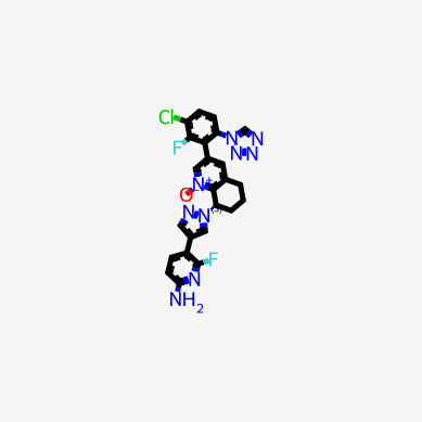 Nc1ccc(-c2cnn([C@H]3CCCc4cc(-c5c(-n6cnnn6)ccc(Cl)c5F)c[n+]([O-])c43)c2)c(F)n1